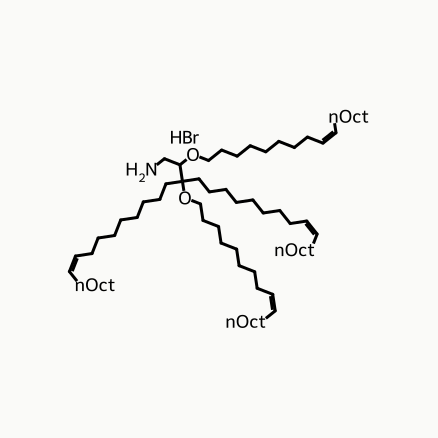 Br.CCCCCCCC/C=C\CCCCCCCCOC(CN)C(CCCCCCCC/C=C\CCCCCCCC)(CCCCCCCC/C=C\CCCCCCCC)OCCCCCCCC/C=C\CCCCCCCC